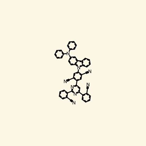 N#Cc1ccccc1-c1cc(-c2cc(C#N)c(-n3c4ccccc4c4cc(N(c5ccccc5)c5ccccc5)ccc43)cc2C#N)nc(-c2ccccc2C#N)n1